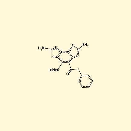 Bc1cc2c(CCCCCC)c(C(=O)Oc3ccccc3)c3cc(B)sc3c2s1